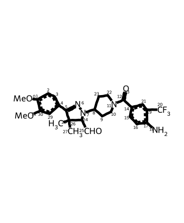 COc1ccc(C2=NN(C3CCN(C(=O)c4ccc(N)c(C(F)(F)F)c4)CC3)C(C=O)C2(C)C)cc1OC